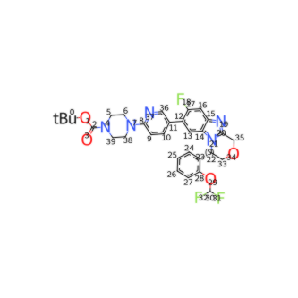 CC(C)(C)OC(=O)N1CCN(c2ccc(-c3cc4c(cc3F)nc3n4[C@@H](c4ccccc4OC(F)F)COC3)cn2)CC1